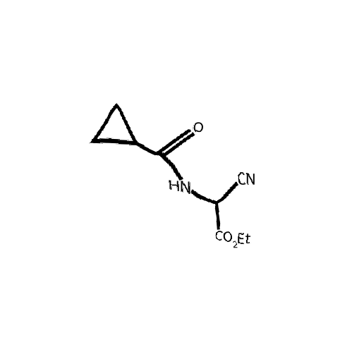 CCOC(=O)C(C#N)NC(=O)C1CC1